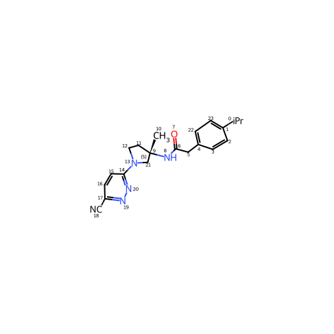 CC(C)c1ccc(CC(=O)N[C@@]2(C)CCN(c3ccc(C#N)nn3)C2)cc1